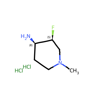 CN1CC[C@@H](N)[C@@H](F)C1.Cl.Cl